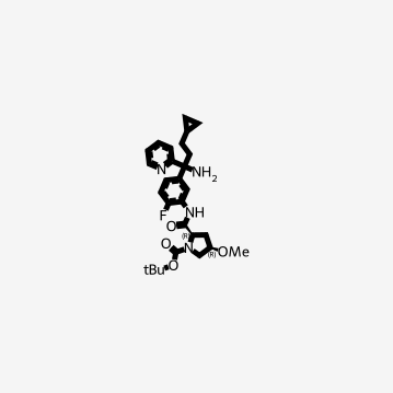 CO[C@@H]1C[C@H](C(=O)Nc2cc(C(N)(CCC3CC3)c3ccccn3)ccc2F)N(C(=O)OC(C)(C)C)C1